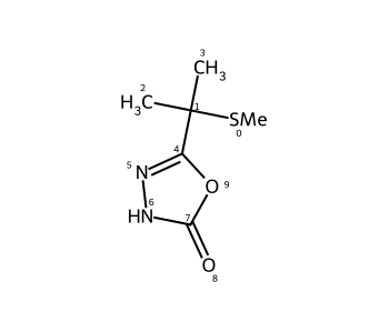 CSC(C)(C)c1n[nH]c(=O)o1